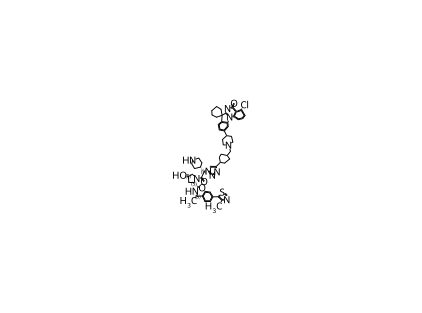 Cc1ncsc1-c1ccc([C@H](C)NC(=O)[C@@H]2C[C@@H](O)CN2C(=O)[C@H](C2CCNCC2)n2cc(C3CCC(CN4CCC(c5ccc6c(c5)-n5c(nc(=O)c7c(Cl)cccc75)C65CCCCC5)CC4)CC3)nn2)cc1